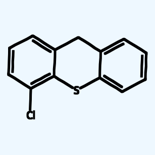 Clc1cccc2c1Sc1ccccc1C2